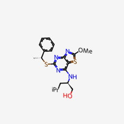 COc1nc2nc(S[C@H](C)c3ccccc3)nc(N[C@@H](CO)CC(C)C)c2s1